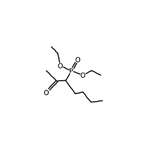 CCCCC(C(C)=O)P(=O)(OCC)OCC